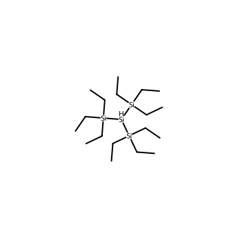 CC[Si](CC)(CC)[SiH]([Si](CC)(CC)CC)[Si](CC)(CC)CC